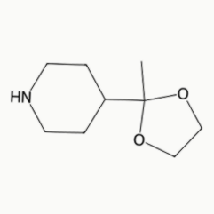 CC1(C2CCNCC2)OCCO1